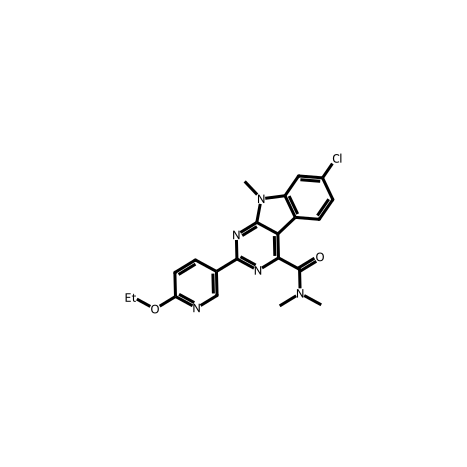 CCOc1ccc(-c2nc(C(=O)N(C)C)c3c4ccc(Cl)cc4n(C)c3n2)cn1